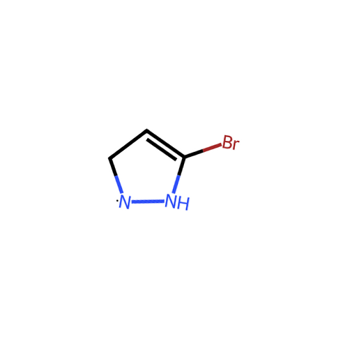 BrC1=CC[N]N1